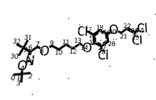 CC(C)(C)ON=C(COCCCCCOc1c(Cl)cc(OCC=C(Cl)Cl)cc1Cl)C(C)(C)C